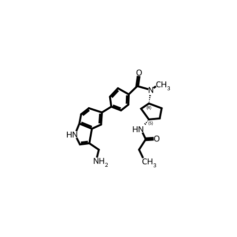 CCC(=O)N[C@H]1CC[C@@H](N(C)C(=O)c2ccc(-c3ccc4[nH]cc(CN)c4c3)cc2)C1